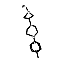 Cc1ccc(N2CCN(C3CN(C(C)C)C3)CC2)cc1